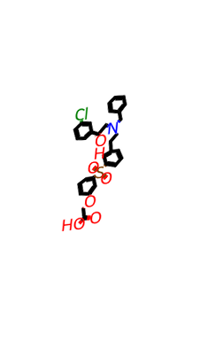 O=C(O)COc1cccc(S(=O)(=O)c2cccc(CCN(Cc3ccccc3)C[C@@H](O)c3cccc(Cl)c3)c2)c1